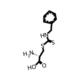 N[C@H](CSC(=S)NCc1ccccc1)C(=O)O